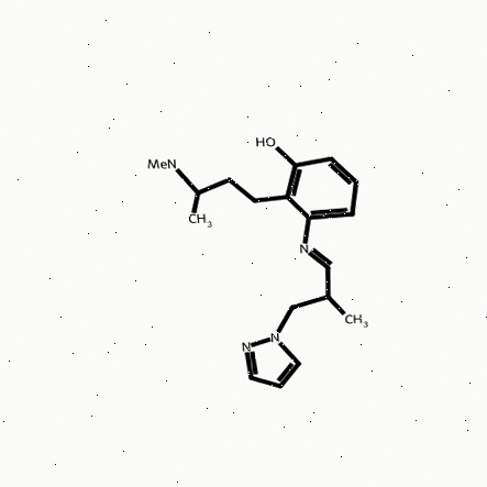 CNC(C)CCc1c(O)cccc1/N=C/C(C)Cn1cccn1